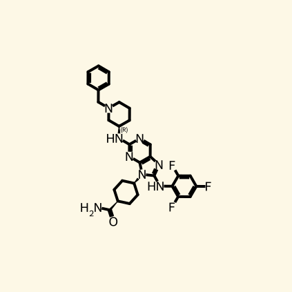 NC(=O)[C@H]1CC[C@@H](n2c(Nc3c(F)cc(F)cc3F)nc3cnc(N[C@@H]4CCCN(Cc5ccccc5)C4)nc32)CC1